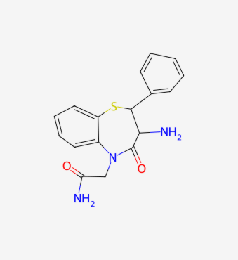 NC(=O)CN1C(=O)C(N)C(c2ccccc2)Sc2ccccc21